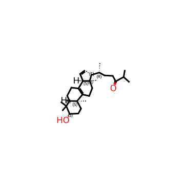 CC(C)C(=O)CC[C@@H](C)[C@H]1C=C[C@@H]2C3=C(CC[C@@]21C)[C@@]1(C)CC[C@H](O)C(C)(C)[C@@H]1CC3